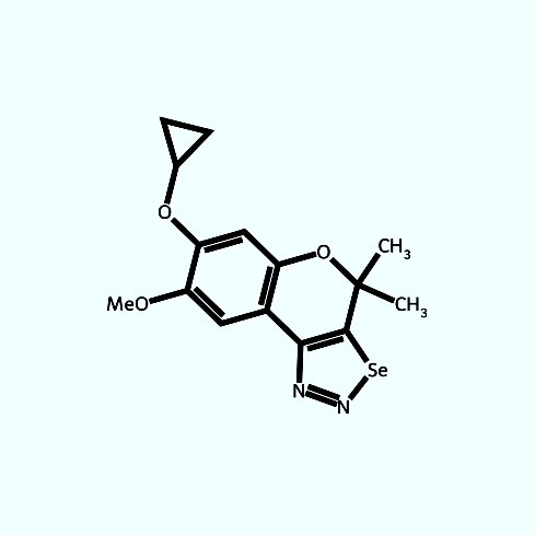 COc1cc2c(cc1OC1CC1)OC(C)(C)c1[se]nnc1-2